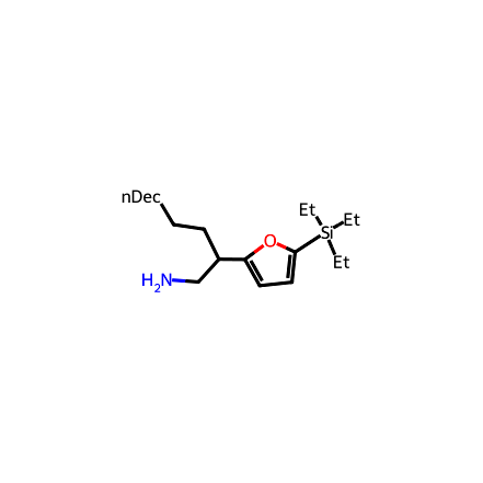 CCCCCCCCCCCCC(CN)c1ccc([Si](CC)(CC)CC)o1